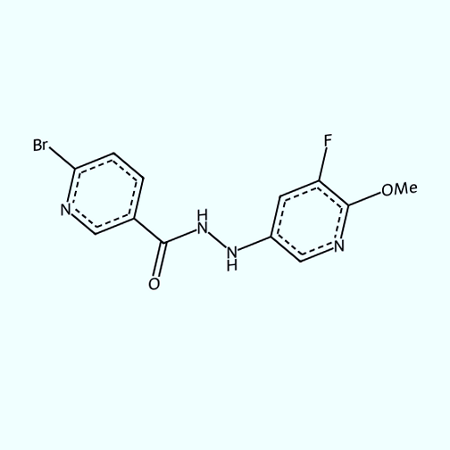 COc1ncc(NNC(=O)c2ccc(Br)nc2)cc1F